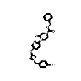 CC(C)c1ccc(CN2CC(Oc3ccc(N4CCN(C(=O)OCc5ccccc5)CC4=O)nc3)C2)cc1